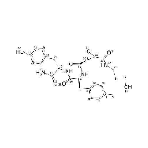 Cc1ccc(C[C@H](NC(=O)[C@H]2OC2C(=O)NCCCO)C(=O)N[C@@H](Cc2ccc(O)cc2)C(N)=O)cc1